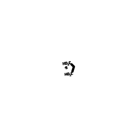 O=C(O)CC(=O)O.[S]